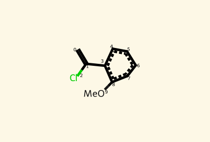 C=C(Cl)c1ccccc1OC